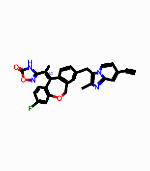 C#Cc1ccn2c(Cc3ccc4c(c3)COc3cc(F)ccc3/C4=C(/C)c3noc(=O)[nH]3)c(C)nc2c1